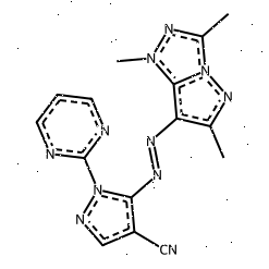 Cc1nn2c(C)nn(C)c2c1/N=N/c1c(C#N)cnn1-c1ncccn1